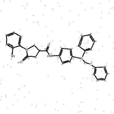 CC(C)c1ccccc1N1CC(C(=O)Nc2ccc(N(CCc3ccccc3)c3ccccc3)cc2)CC1=O